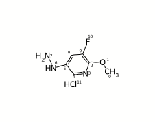 COc1ncc(NN)cc1F.Cl